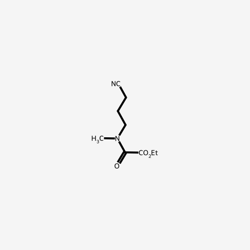 CCOC(=O)C(=O)N(C)CCCC#N